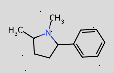 CC1CCC(c2ccccc2)N1C